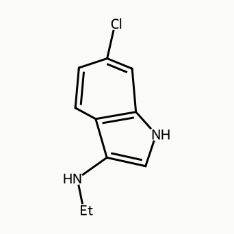 CCNc1c[nH]c2cc(Cl)ccc12